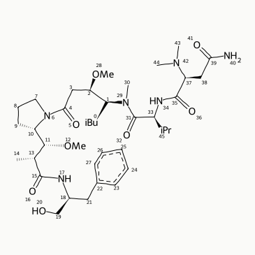 CC[C@H](C)[C@@H]([C@@H](CC(=O)N1CCC[C@H]1[C@H](OC)[C@@H](C)C(=O)N[C@H](CO)Cc1ccccc1)OC)N(C)C(=O)[C@@H](NC(=O)[C@H](CC(N)=O)N(C)C)C(C)C